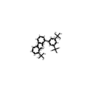 CC(C)(C)c1cc(-c2cccc3c2oc2c(C(C)(C)C)cccc23)cc(C(C)(C)C)c1